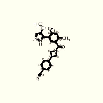 COc1cn[nH]c1-c1cc(C(=O)N2CC(c3ccc(C#N)cc3)C2)c(C)cc1C